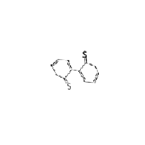 S=C1CC=CC=C1C1=CC=CCC1=S